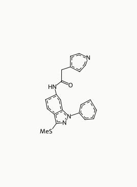 CSc1nn(-c2ccccc2)c2cc(NC(=O)Cc3ccncc3)ccc12